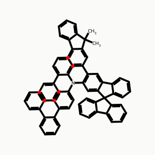 CC1(C)c2ccccc2-c2ccc(-c3cc4c(cc3N(c3ccc5c6ccccc6c6ccccc6c5c3)c3ccccc3-c3ccccc3)C3(c5ccccc5-c5ccccc53)c3ccccc3-4)cc21